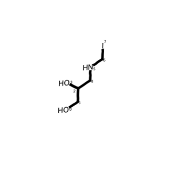 OCC(O)CNCI